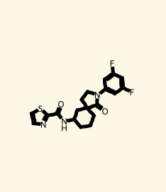 O=C(NC1CCCC2(CCN(c3cc(F)cc(F)c3)C2=O)C1)c1nccs1